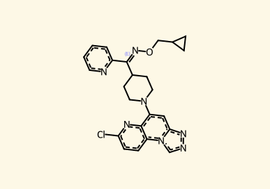 Clc1ccc2c(n1)c(N1CCC(/C(=N\OCC3CC3)c3ccccn3)CC1)cc1nncn12